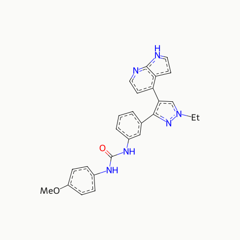 CCn1cc(-c2ccnc3[nH]ccc23)c(-c2cccc(NC(=O)Nc3ccc(OC)cc3)c2)n1